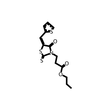 CCCOC(=O)CCN1C(=O)/C(=C\c2cccs2)SC1=S